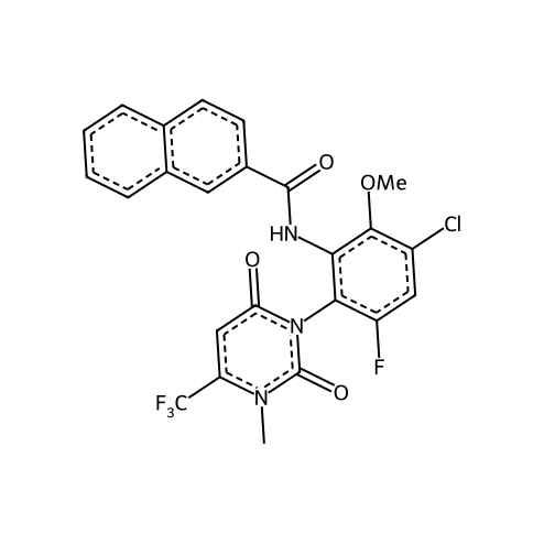 COc1c(Cl)cc(F)c(-n2c(=O)cc(C(F)(F)F)n(C)c2=O)c1NC(=O)c1ccc2ccccc2c1